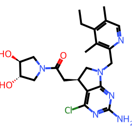 CCc1c(C)cnc(CN2C[C@H](CC(=O)N3C[C@H](O)[C@@H](O)C3)c3c(Cl)nc(N)nc32)c1C